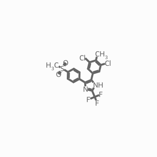 Cc1c(Cl)cc(-c2[nH]c(C(F)(F)F)nc2-c2ccc(S(C)(=O)=O)cc2)cc1Cl